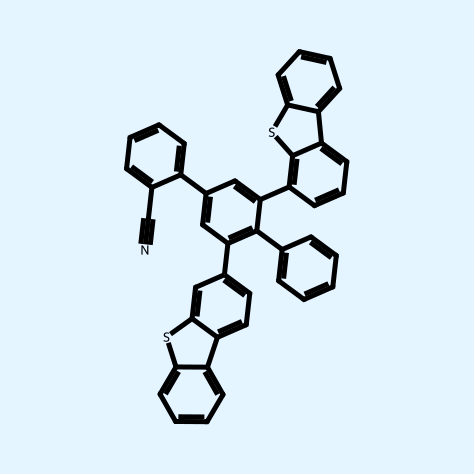 N#Cc1ccccc1-c1cc(-c2ccc3c(c2)sc2ccccc23)c(-c2ccccc2)c(-c2cccc3c2sc2ccccc23)c1